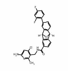 Cc1nc(N)cc(Cl)c1CNC(=O)c1ccc2c(c1)[C@@H]1O[C@H]2c2ccc(-c3ccc(F)cc3F)cc21